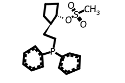 CS(=O)(=O)O[C@H]1CCC[C@@H]1CCP(c1ccccc1)c1ccccc1